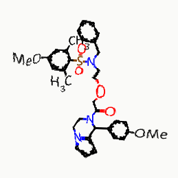 COc1ccc(C2c3cccn3CCN2C(=O)COCCN(Cc2ccccc2)S(=O)(=O)c2c(C)cc(OC)cc2C)cc1